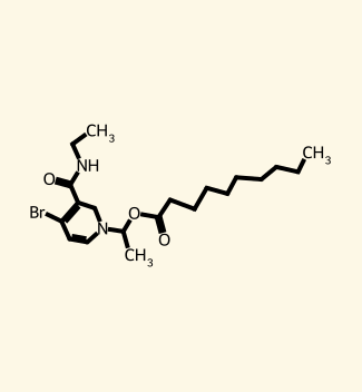 CCCCCCCCCC(=O)OC(C)N1C=CC(Br)=C(C(=O)NCC)C1